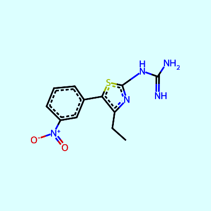 CCc1nc(NC(=N)N)sc1-c1cccc([N+](=O)[O-])c1